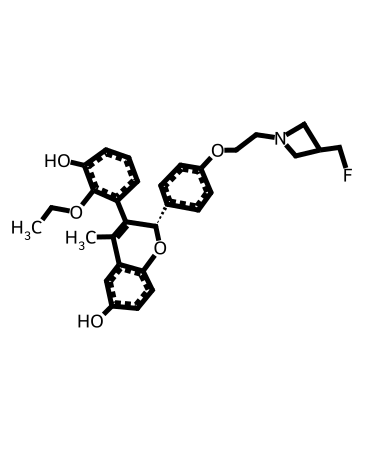 CCOc1c(O)cccc1C1=C(C)c2cc(O)ccc2O[C@H]1c1ccc(OCCN2CC(CF)C2)cc1